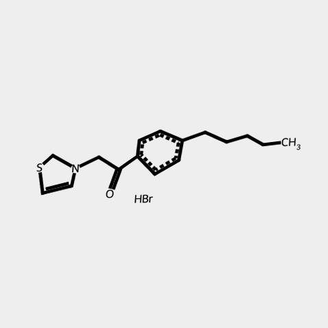 Br.CCCCCc1ccc(C(=O)CN2C=CSC2)cc1